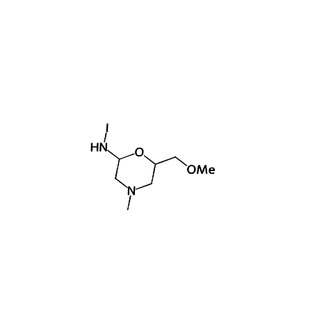 COCC1CN(C)CC(NI)O1